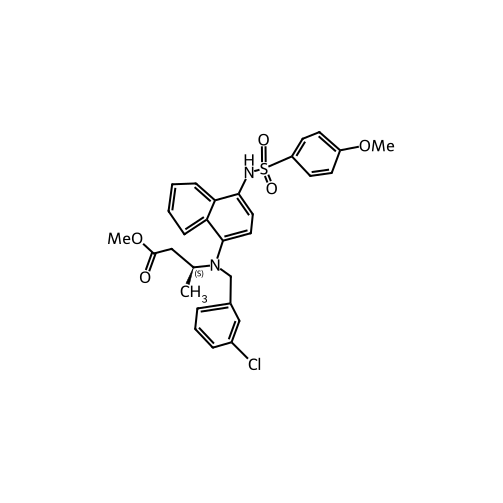 COC(=O)C[C@H](C)N(Cc1cccc(Cl)c1)c1ccc(NS(=O)(=O)c2ccc(OC)cc2)c2ccccc12